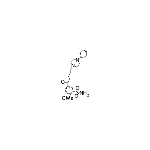 COc1ccc(C(=O)CCCCN2CCN(c3ccccc3)CC2)cc1S(N)(=O)=O